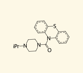 CC(C)N1CCN(C(=O)N2c3ccccc3Sc3ccccc32)CC1